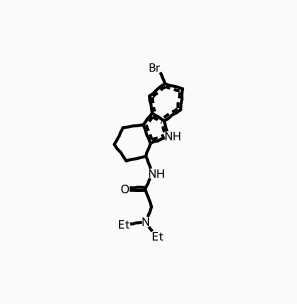 CCN(CC)CC(=O)NC1CCCc2c1[nH]c1ccc(Br)cc21